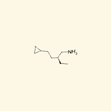 CC[C@H](CN)CCC1CC1